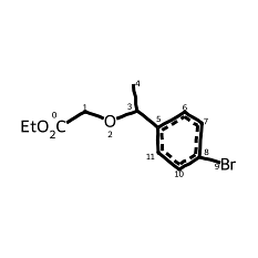 CCOC(=O)COC(C)c1ccc(Br)cc1